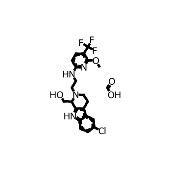 COc1nc(NCCN2CCc3c([nH]c4ccc(Cl)cc34)C2CO)ccc1C(F)(F)F.O=CO